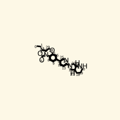 CC[C@@H]1OC(=O)N2c3ccc(-c4ccc(N5C[C@@H]6CCCN[C@@H]6C5)nc4)cc3OCC12